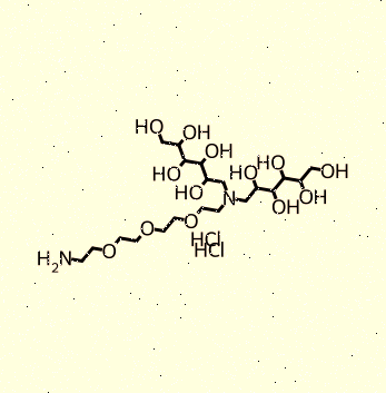 Cl.Cl.NCCOCCOCCOCCN(CC(O)C(O)C(O)C(O)CO)CC(O)C(O)C(O)C(O)CO